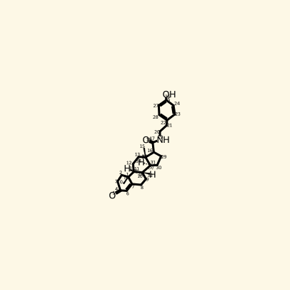 C[C@]12CCC(=O)C=C1CC[C@@H]1[C@H]2CC[C@]2(C)C(C(=O)NCCc3ccc(O)cc3)CC[C@@H]12